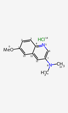 COc1ccc2ncc(N(C)C)cc2c1.Cl